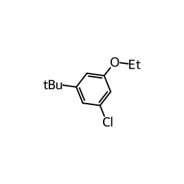 CCOc1cc(Cl)cc(C(C)(C)C)c1